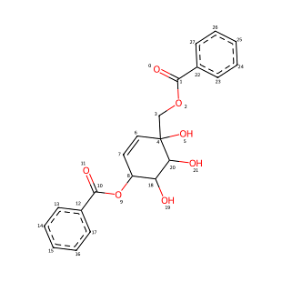 O=C(OCC1(O)C=CC(OC(=O)c2ccccc2)C(O)C1O)c1ccccc1